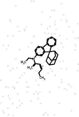 C=C(/C=C\CC)N(CC)c1ccc2c(c1)C1(c3ccccc3-2)C2CC3CC(C2)CC1C3